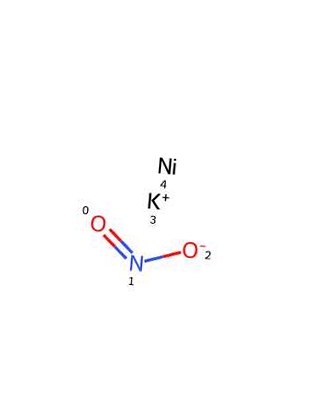 O=N[O-].[K+].[Ni]